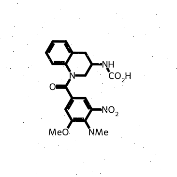 CNc1c(OC)cc(C(=O)N2CC(NC(=O)O)Cc3ccccc32)cc1[N+](=O)[O-]